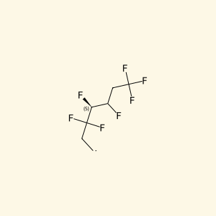 [CH2]CC(F)(F)[C@@H](F)C(F)CC(F)(F)F